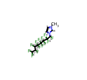 CN1C=CN(C(F)C(F)(F)C(F)(F)C(F)(F)C(F)(F)C(F)C(F)C(F)F)C1